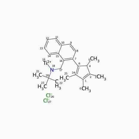 CC1=C(C)C(C)C(c2ccc3ccccc3c2C[N]([Ti+2])C(C)(C)C)=C1C.[Cl-].[Cl-]